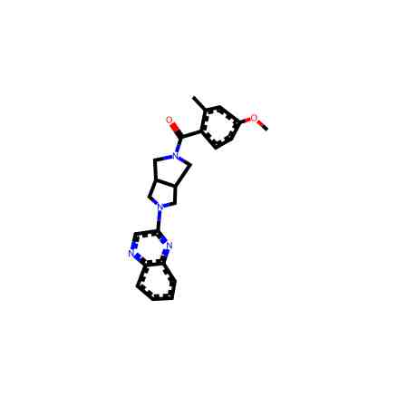 COc1ccc(C(=O)N2CC3CN(c4cnc5ccccc5n4)CC3C2)c(C)c1